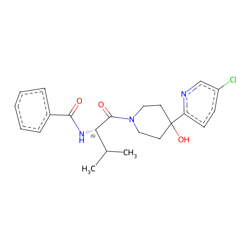 CC(C)[C@H](NC(=O)c1ccccc1)C(=O)N1CCC(O)(c2ccc(Cl)cn2)CC1